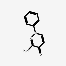 Nc1nn(-c2ccccc2)ccc1=O